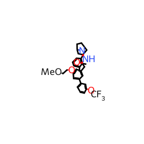 COCCOc1ccc(CN2C3CCC2CC(NC(=O)Cc2cccc(-c4cccc(OC(F)(F)F)c4)c2)C3)c(C)c1C